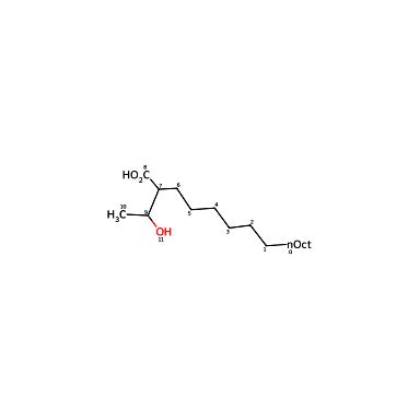 CCCCCCCCCCCCCCC(C(=O)O)C(C)O